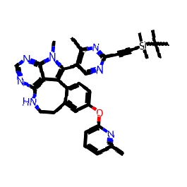 Cc1cccc(Oc2ccc3c(c2)CCNc2ncnc4c2c-3c(-c2cnc(C#C[Si](C)(C)C(C)(C)C)nc2C)n4C)n1